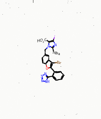 CCCCc1nc(I)c(C(=O)O)n1Cc1ccc2oc(-c3ccccc3-c3nnn[nH]3)c(Br)c2c1